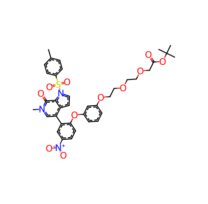 Cc1ccc(S(=O)(=O)n2ccc3c(-c4cc([N+](=O)[O-])ccc4Oc4cccc(OCCOCCOCC(=O)OC(C)(C)C)c4)cn(C)c(=O)c32)cc1